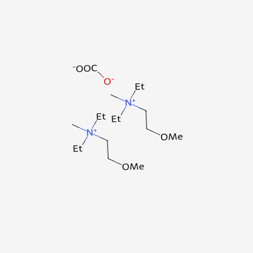 CC[N+](C)(CC)CCOC.CC[N+](C)(CC)CCOC.O=C([O-])[O-]